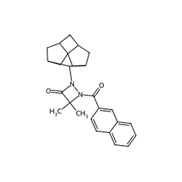 CC1(C)C(=O)N(C2C3CC4CC5CC2CC45C3)N1C(=O)c1ccc2ccccc2c1